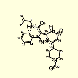 CC(C)CNC(=O)c1c(-c2ccccc2)nn2c(C3CCN(C=O)CC3)cc(=O)[nH]c12